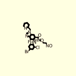 O=NCCONC(=O)c1cc2c(ncn2Cc2ccccn2)c(F)c1Nc1ccc(Br)cc1Cl